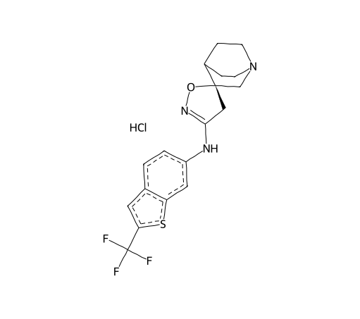 Cl.FC(F)(F)c1cc2ccc(NC3=NO[C@@]4(C3)CN3CCC4CC3)cc2s1